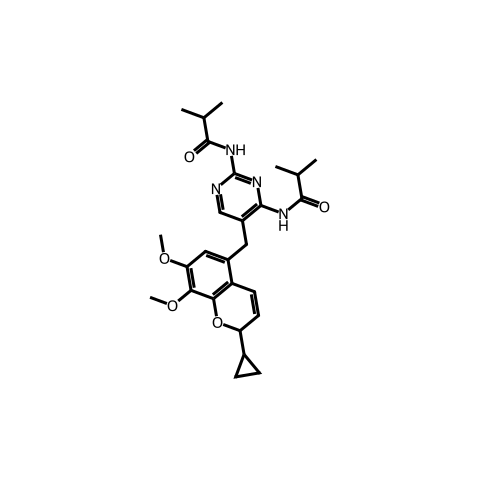 COc1cc(Cc2cnc(NC(=O)C(C)C)nc2NC(=O)C(C)C)c2c(c1OC)OC(C1CC1)C=C2